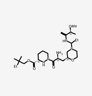 C=C(NC(CC)N1CCO[C@@H](C[C@H](N)C(=O)N2CCC[C@@H](C(=O)OCC(C)(C)CC)N2)C1)[C@H](C)OC